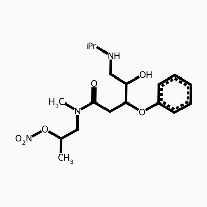 CC(C)NCC(O)C(CC(=O)N(C)CC(C)O[N+](=O)[O-])Oc1ccccc1